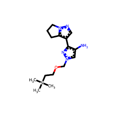 C[Si](C)(C)CCOCn1cc(N)c(-c2cnn3c2CCC3)n1